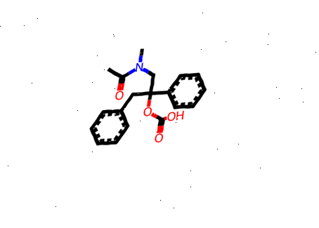 CC(=O)N(C)CC(Cc1ccccc1)(OC(=O)O)c1ccccc1